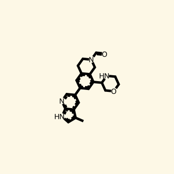 Cc1c[nH]c2ncc(-c3cc4c(c(C5COCCN5)c3)CN(C=O)CC4)cc12